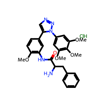 COc1ccc(-c2cnnn2-c2cc(OC)c(OC)c(OC)c2)cc1NC(=O)C(N)Cc1ccccc1.Cl